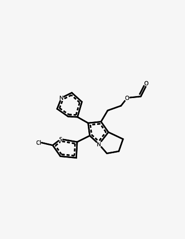 O=COCCc1c(-c2ccncc2)c(-c2ccc(Cl)s2)n2c1CCC2